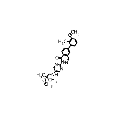 COc1cccc(-c2ccc3c(=O)n(-c4ncc(NCC(C)(C)OC)cn4)ncc3c2)c1C